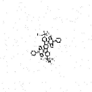 CC(C)(C)c1ccc2c(c1)C1(c3cc4c(cc3-2)C2(c3cc(C(C)(C)C)ccc3-4)c3ccccc3N(c3ccccc3)c3ccccc32)c2ccccc2N(c2ccccc2)c2ccccc21